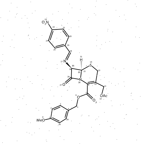 COc1ccc(COC(=O)C2=C(COC(C)=O)CS[C@@H]3[C@H](N=Cc4ccc([N+](=O)[O-])cc4)C(=O)N23)cc1